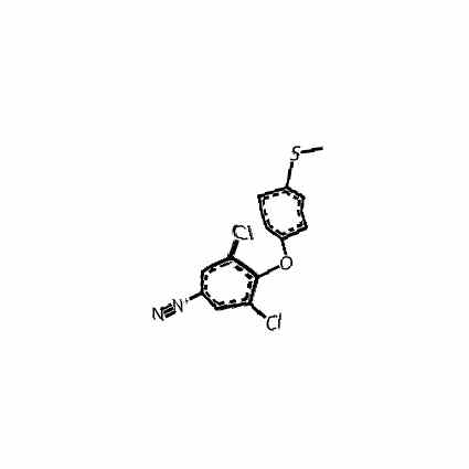 CSc1ccc(Oc2c(Cl)cc([N+]#N)cc2Cl)cc1